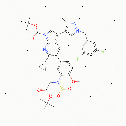 COc1ccc(-c2cc3c(-c4c(C)nn(Cc5cc(F)cc(F)c5)c4C)cn(C(=O)OC(C)(C)C)c3nc2C2CC2)cc1N(CC(=O)OC(C)(C)C)[SH](=O)=O